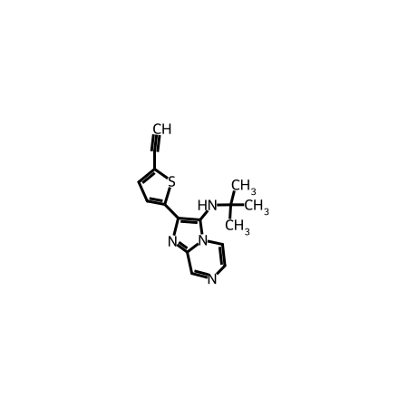 C#Cc1ccc(-c2nc3cnccn3c2NC(C)(C)C)s1